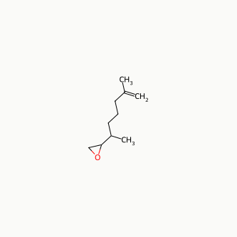 C=C(C)CCCC(C)C1CO1